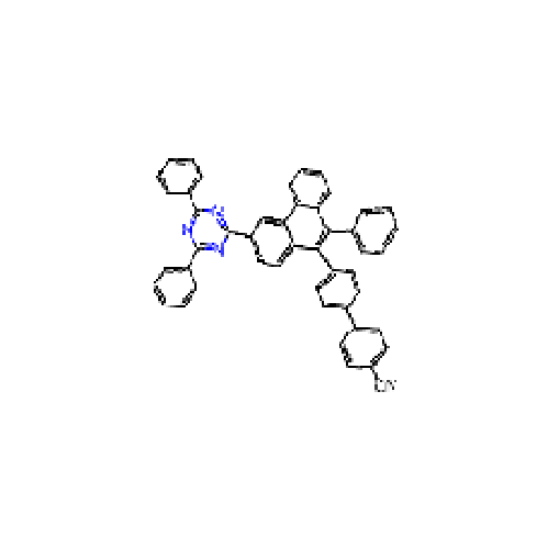 N#Cc1ccc(-c2ccc(-c3c(-c4ccccc4)c4ccccc4c4cc(-c5nc(-c6ccccc6)nc(-c6ccccc6)n5)ccc34)cc2)cc1